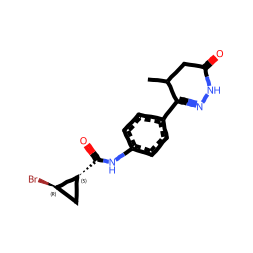 CC1CC(=O)NN=C1c1ccc(NC(=O)[C@@H]2C[C@H]2Br)cc1